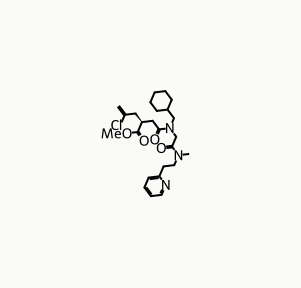 C=C(Cl)C[C@@H](CC(=O)N(CC(=O)N(C)CCc1ccccn1)CC1CCCCC1)C(=O)OC